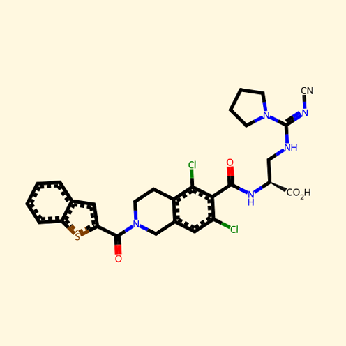 N#C/N=C(/NC[C@H](NC(=O)c1c(Cl)cc2c(c1Cl)CCN(C(=O)c1cc3ccccc3s1)C2)C(=O)O)N1CCCC1